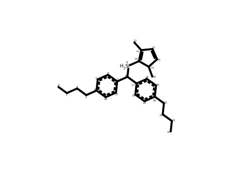 CCCCc1ccc(C([SiH2]C2=C(C)C=CC2C)c2ccc(CCCC)cc2)cc1